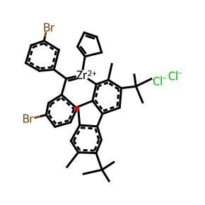 Cc1cc2c(cc1C(C)(C)C)-c1cc(C(C)(C)C)c(C)[c]([Zr+2]([C]3=CC=CC3)=[C](c3cccc(Br)c3)c3cccc(Br)c3)c1C2.[Cl-].[Cl-]